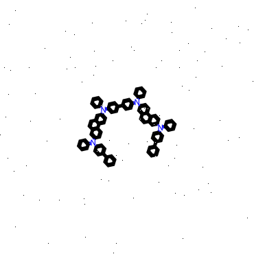 c1ccc(-c2ccc(N(c3ccccc3)c3ccc4c(ccc5cc(N(c6ccccc6)c6ccc(-c7ccc(N(c8ccccc8)c8ccc9c(ccc%10cc(N(c%11ccccc%11)c%11ccc(-c%12ccccc%12)cc%11)ccc%109)c8)cc7)cc6)ccc54)c3)cc2)cc1